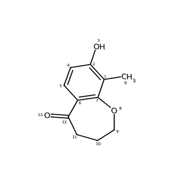 Cc1c(O)ccc2c1OCCCC2=O